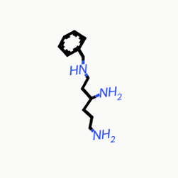 NCCCC(N)CCNCc1ccccc1